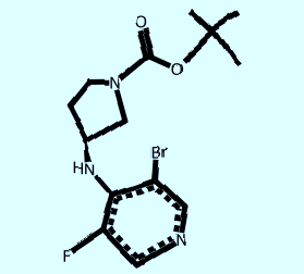 CC(C)(C)OC(=O)N1CC[C@H](Nc2c(F)cncc2Br)C1